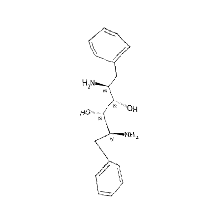 N[C@@H](Cc1ccccc1)[C@H](O)[C@@H](O)[C@@H](N)Cc1ccccc1